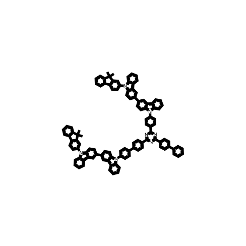 CC1(C)c2ccccc2-c2ccc(-n3c4ccccc4c4cc(-c5ccc6c(c5)c5ccccc5n6-c5ccc(-c6ccc(-c7nc(-c8ccc(-c9ccccc9)cc8)nc(-c8ccc(-n9c%10ccccc%10c%10cc(-c%11ccc%12c(c%11)c%11ccccc%11n%12-c%11ccc%12c(c%11)C(C)(C)c%11ccccc%11-%12)ccc%109)cc8)n7)cc6)cc5)ccc43)cc21